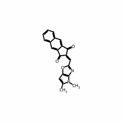 Cc1cc2oc(C=C3C(=O)c4cc5ccccc5cc4C3=O)nc2n1C